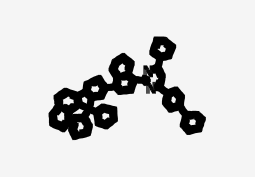 c1ccc(-c2ccc(-c3cc(-c4ccccc4)nc(-c4ccc(-c5ccc6c(c5)C(c5ccccc5)(c5ccccc5)c5c-6ccc6ccccc56)c5ccccc45)n3)cc2)cc1